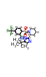 CC(C)(C)c1cnc([C@@H]2CCCCN2S(=O)(=O)c2ccc(C(F)(F)F)cc2Cl)[nH]1